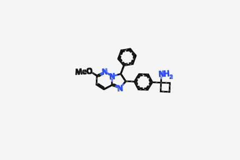 COC1=NN2C(=NC(c3ccc(C4(N)CCC4)cc3)C2c2ccccc2)C=C1